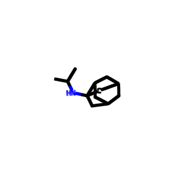 CC(C)NC12CC3CC(CC1C3)C2